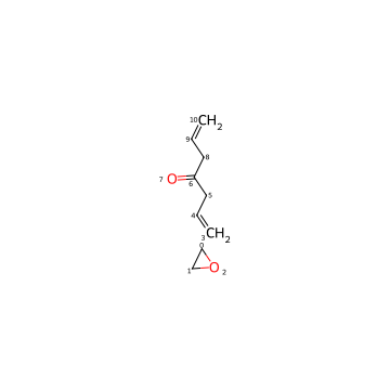 C1CO1.C=CCC(=O)CC=C